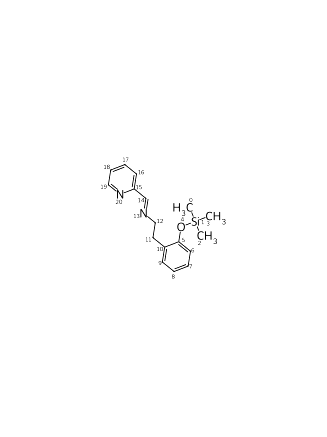 C[Si](C)(C)Oc1ccccc1CCN=Cc1ccccn1